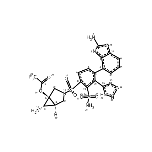 Nc1nc2c(-c3ccc(S(=O)(=O)N4C[C@H]5[C@H](N)[C@]5(OC(=O)C(F)(F)F)C4)c(S(N)(=O)=O)c3-c3nnn[nH]3)cccc2s1